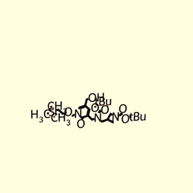 CC(C)(C)OC(=O)N(Cc1cc(CO)cn(COCC[Si](C)(C)C)c1=O)CC1CN(C(=O)OC(C)(C)C)C1